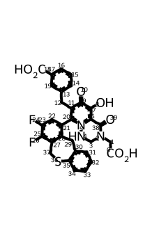 O=C(O)CN1CNn2c(c(O)c(=O)c(Cc3cccc(C(=O)O)c3)c2-c2cc(F)c(F)c3c2Cc2ccccc2SC3)C1=O